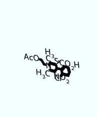 CC(=O)OCCN1C(C)=C(SC(=O)O)C(c2ccccc2Cl)C([N+](=O)[O-])=C1C